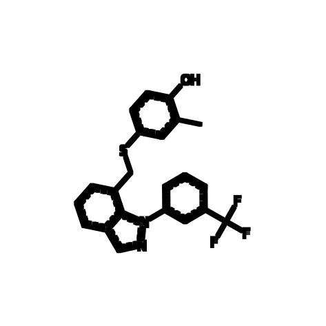 Cc1cc(SCc2cccc3cnn(-c4cccc(C(F)(F)F)c4)c23)ccc1O